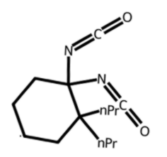 CCCC1(CCC)C[CH]CCC1(N=C=O)N=C=O